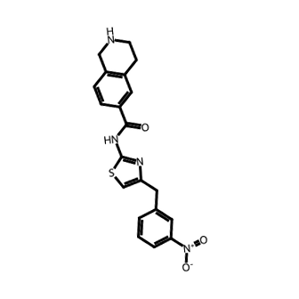 O=C(Nc1nc(Cc2cccc([N+](=O)[O-])c2)cs1)c1ccc2c(c1)CCNC2